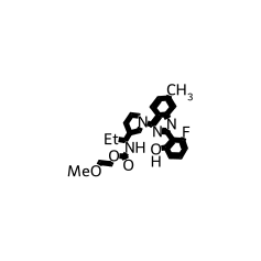 CCC(NC(=O)OCCOC)C1CCCN(c2nc(-c3c(O)cccc3F)nc3cc(C)ccc23)C1